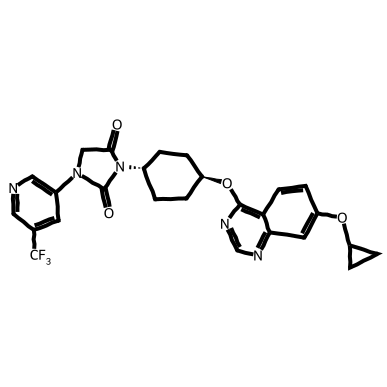 O=C1CN(c2cncc(C(F)(F)F)c2)C(=O)N1[C@H]1CC[C@H](Oc2ncnc3cc(OC4CC4)ccc23)CC1